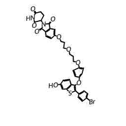 O=C1CCC(N2C(=O)c3ccc(OCCCOCCCOc4ccc(Oc5c(-c6ccc(Br)cc6)sc6cc(O)ccc56)cc4)cc3C2=O)C(=O)N1